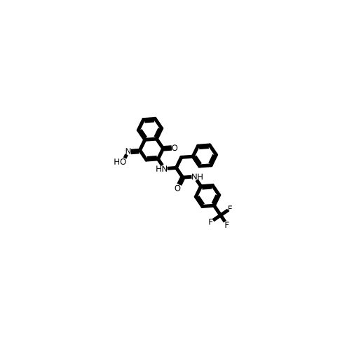 O=C1C(NC(Cc2ccccc2)C(=O)Nc2ccc(C(F)(F)F)cc2)=CC(=NO)c2ccccc21